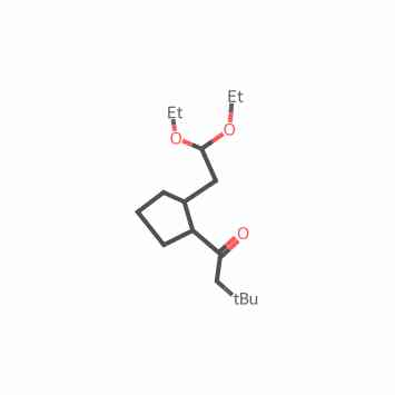 CCOC(CC1CCCC1C(=O)CC(C)(C)C)OCC